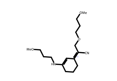 COCCCNC1=C/C(=C(/C#N)COCCCOC)CCC1